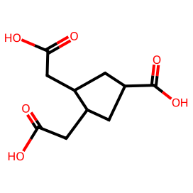 O=C(O)CC1CC(C(=O)O)CC1CC(=O)O